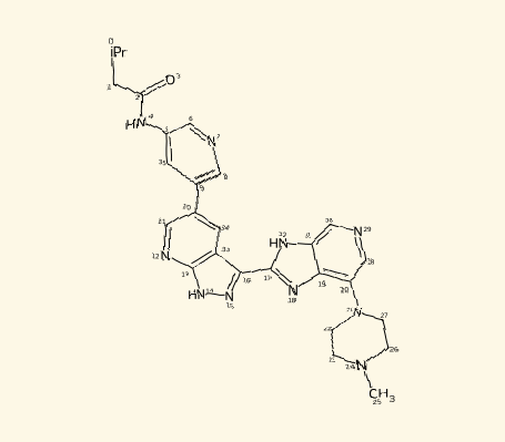 CC(C)CC(=O)Nc1cncc(-c2cnc3[nH]nc(-c4nc5c(N6CCN(C)CC6)cncc5[nH]4)c3c2)c1